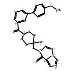 COc1ccc(-c2cccc(C(=O)N3CCC(O)(Cn4cnn5cncc5c4=O)CC3)c2)cc1